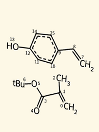 C=C(C)C(=O)OC(C)(C)C.C=Cc1ccc(O)cc1